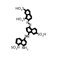 Nc1ccc(N=Nc2ccc(N=Nc3ccc4ccc(S(=O)(=O)O)cc4c3S(=O)(=O)O)c3ccc(S(=O)(=O)O)cc23)c2cccc(S(=O)(=O)O)c12